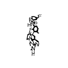 CNc1ncc2c(n1)N1CCN=C1C(c1c(C)ccc(NS(=O)(=O)c3cc(F)ccc3F)c1F)=C2